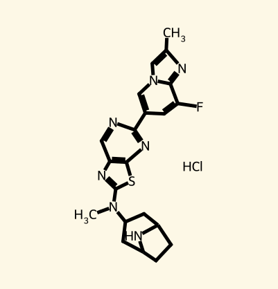 Cc1cn2cc(-c3ncc4nc(N(C)C5CC6CCC(C5)N6)sc4n3)cc(F)c2n1.Cl